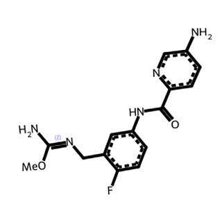 CO/C(N)=N\Cc1cc(NC(=O)c2ccc(N)cn2)ccc1F